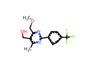 COCc1nc(-c2ccc(C(F)(F)F)cc2)nc(C)c1CO